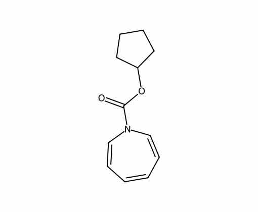 O=C(OC1CCCC1)N1C=CC=CC=C1